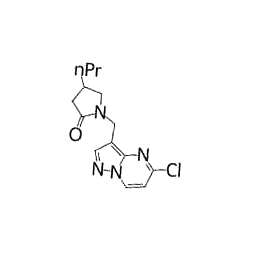 CCCC1CC(=O)N(Cc2cnn3ccc(Cl)nc23)C1